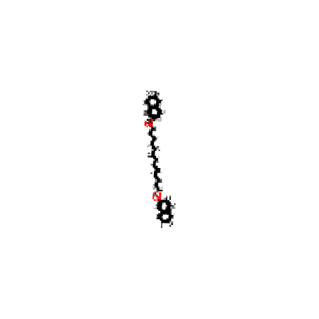 c1ccc2cc(OCCCCCCCCCCCCCOc3ccc4ccccc4c3)ccc2c1